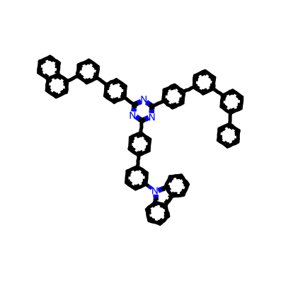 c1ccc(-c2cccc(-c3cccc(-c4ccc(-c5nc(-c6ccc(-c7cccc(-c8cccc9ccccc89)c7)cc6)nc(-c6ccc(-c7cccc(-n8c9ccccc9c9ccccc98)c7)cc6)n5)cc4)c3)c2)cc1